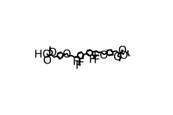 CCOC(Cc1ccc(OCCCc2ccc(-c3ccc(CCCOc4ccc(C[C@H](OCC)C(=O)O)cc4)c(C(F)(F)F)c3)cc2C(F)(F)F)cc1)C(=O)OC(C)C